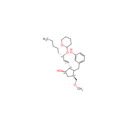 CCCCC[C@@H](/C=C/[C@@H]1C(Cc2cccc(O)c2)[C@@H](COC)C[C@H]1O)OC1CCCCO1